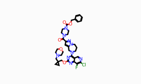 O=C(OCc1ccccc1)N1CCN(C(=O)c2cc3n(n2)CCCN(c2nc(OCC4(CN5CCOCC5)CC4)nc4c(F)c(Cl)ncc24)C3)CC1